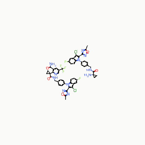 Cc1nc(-c2c(Cl)c3cc(F)ccc3n2-c2ccc(CNC(=O)C3(N)CC3)cc2)no1.Cc1nc(-c2c(Cl)c3cc(F)ccc3n2-c2ccc(CNC(=O)C3(c4ncc(C(F)(F)F)cc4C(N)=O)CC3)cc2)no1